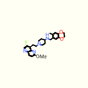 COc1ccc2ncc(F)c(CCN3CCC(NCc4cc5c(cc4C)OCCO5)CC3)c2n1